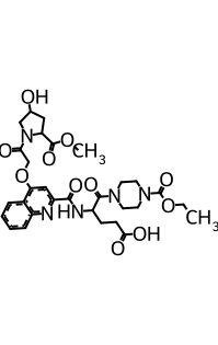 CCOC(=O)N1CCN(C(=O)C(CCC(=O)O)NC(=O)c2cc(OCC(=O)N3CC(O)CC3C(=O)OC)c3ccccc3n2)CC1